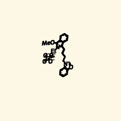 CCn1c(C=CCC[n+]2coc3ccccc32)c2ccccc2c1OC.[O-][Cl+3]([O-])([O-])[O-]